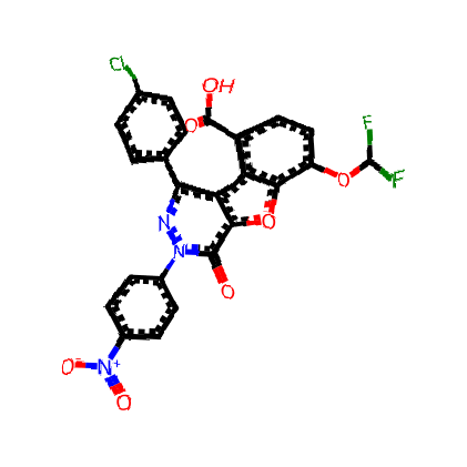 O=C(O)c1ccc(OC(F)F)c2oc3c(=O)n(-c4ccc([N+](=O)[O-])cc4)nc(-c4ccc(Cl)cc4)c3c12